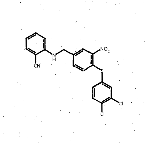 N#Cc1ccccc1NCc1ccc(Sc2ccc(Cl)c(Cl)c2)c([N+](=O)[O-])c1